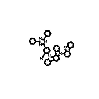 N#Cc1cc(-c2nc(-c3ccccc3)nc(-c3ccccc3)n2)ccc1-n1c2ccccc2c2ccc3c(c4ccccc4n3-c3cccc4c3sc3ccccc34)c21